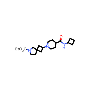 CCOC(=O)N1CCC2(CC(N3CCC(C(=O)NC4CCC4)CC3)C2)C1